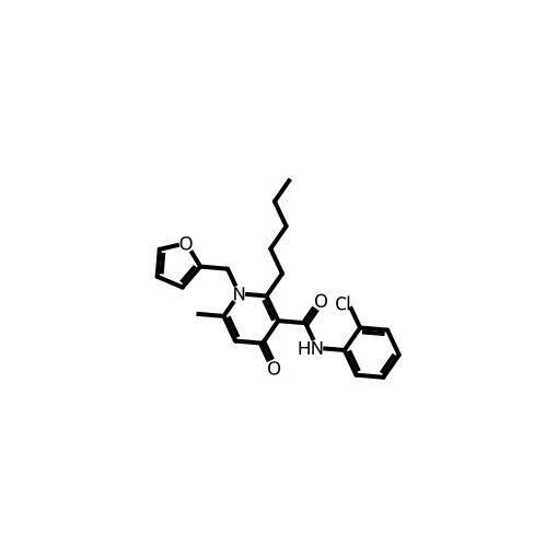 CCCCCc1c(C(=O)Nc2ccccc2Cl)c(=O)cc(C)n1Cc1ccco1